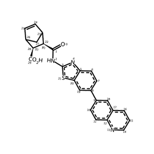 O=C(Nc1nc2ccc(-c3ccc4ncccc4c3)cc2s1)[C@@H]1C2C=CC(C2)[C@@H]1C(=O)O